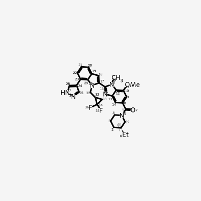 CC[C@@H]1CCCN(C(=O)c2cc(OC)c3c(c2)nc(-c2cc4cccc(-c5cn[nH]c5)c4n2CC2CC2(F)F)n3C)C1